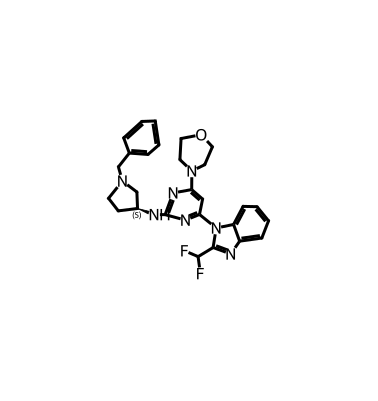 FC(F)c1nc2ccccc2n1-c1cc(N2CCOCC2)nc(N[C@H]2CCN(Cc3ccccc3)C2)n1